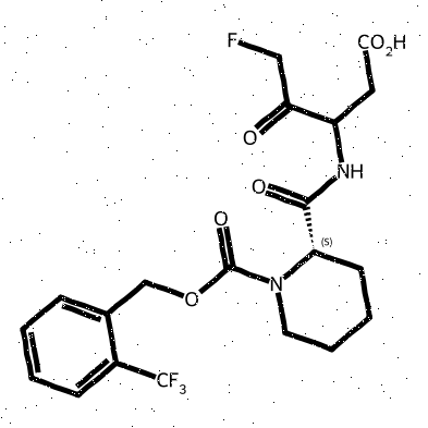 O=C(O)CC(NC(=O)[C@@H]1CCCCN1C(=O)OCc1ccccc1C(F)(F)F)C(=O)CF